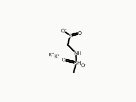 C[SH](=O)([O-])NCS(=O)[O-].[K+].[K+]